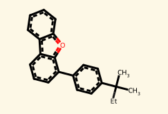 CCC(C)(C)c1ccc(-c2cccc3c2oc2ccccc23)cc1